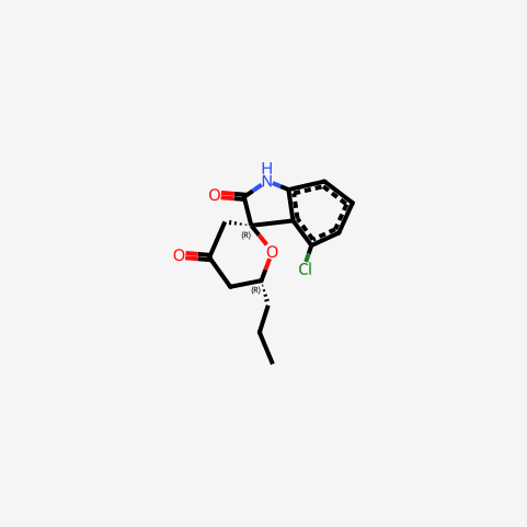 CCC[C@@H]1CC(=O)C[C@]2(O1)C(=O)Nc1cccc(Cl)c12